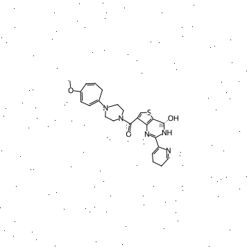 COC1=CC=C(N2CCN(C(=O)c3csc4c3N=C(C3=CCCC=N3)N[C@H]4O)CC2)CC=C1